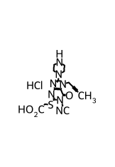 CC#CCn1c(N2CCNCC2)nc2nc(SCC(=O)O)n(CC#N)c(=O)c21.Cl